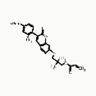 C=CC(=O)OCC(C)(COc1ccc2cc(-c3ccc(CCCCC)cc3C(F)(F)F)c(=O)oc2c1)C(F)(F)F